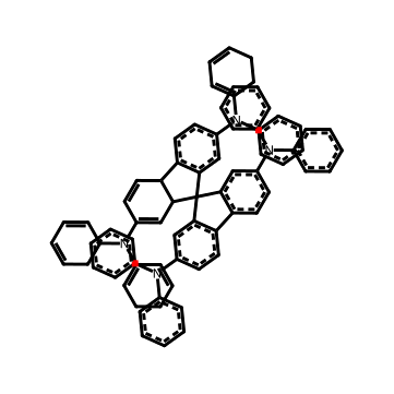 C1=CCCC(N(c2ccccc2)c2ccc3c(c2)C2(c4cc(N(c5ccccc5)c5ccccc5)ccc4-c4ccc(N(c5ccccc5)c5ccccc5)cc42)C2C=C(N(C4=CCCC=C4)C4C=CC=CC4)C=CC32)=C1